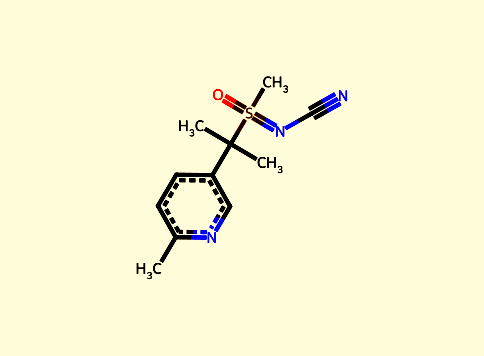 Cc1ccc(C(C)(C)S(C)(=O)=NC#N)cn1